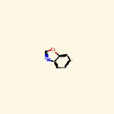 [c]1ccc2c(c1)OC=[N+]2